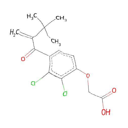 C=C(C(=O)c1ccc(OCC(=O)O)c(Cl)c1Cl)C(C)(C)C